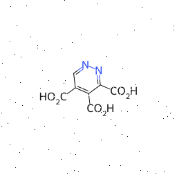 O=C(O)c1cnnc(C(=O)O)c1C(=O)O